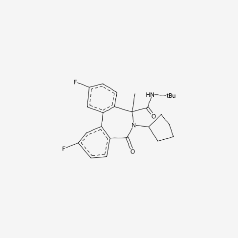 CC(C)(C)NC(=O)C1(C)c2ccc(F)cc2-c2cc(F)ccc2C(=O)N1C1CCCC1